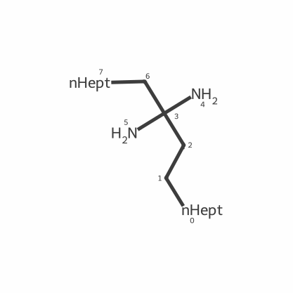 CCCCCCCC[CH]C(N)(N)CCCCCCCC